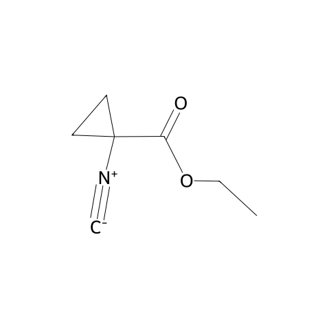 [C-]#[N+]C1(C(=O)OCC)CC1